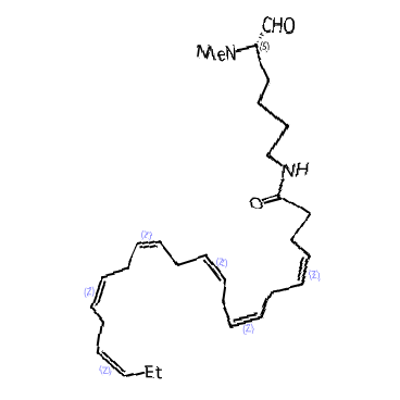 CC/C=C\C/C=C\C/C=C\C/C=C\C/C=C\C/C=C\CCC(=O)NCCCC[C@@H](C=O)NC